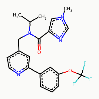 CC(C)N(Cc1ccnc(-c2cccc(OC(F)(F)F)c2)c1)C(=O)c1cn(C)cn1